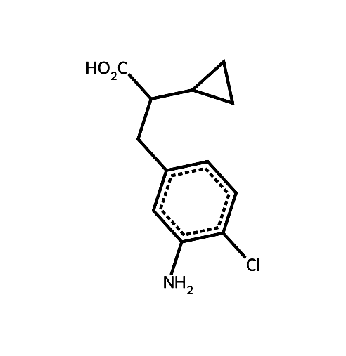 Nc1cc(CC(C(=O)O)C2CC2)ccc1Cl